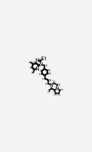 CCc1nc2c(C)cc(C)nc2n1Cc1ccc(/C=C/CN2CCN3CCCC3C2C)cc1